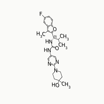 Cc1c([C@@H](NC(=O)Nc2cnc(N3CCC(C)(O)CC3)nc2)C(C)C)oc2ccc(F)cc12